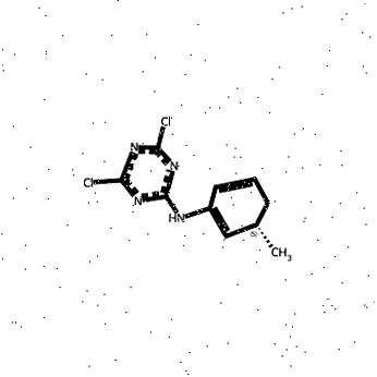 C[C@@H]1C=C(Nc2nc(Cl)nc(Cl)n2)C=CC1